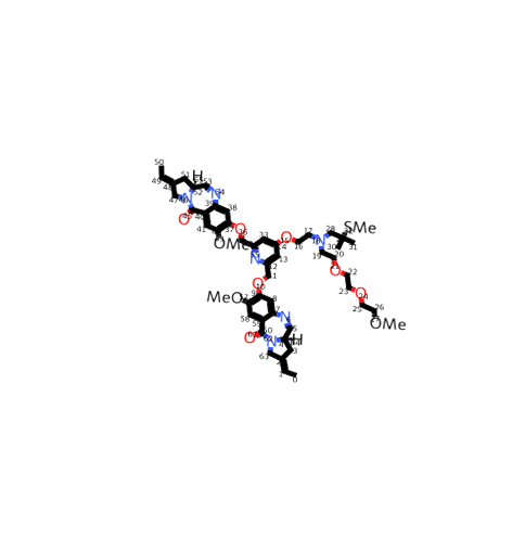 C/C=C1\C[C@H]2C=Nc3cc(OCc4cc(OCCN(CCOCCOCCOC)CC(C)(C)SC)cc(COc5cc6c(cc5OC)C(=O)N5C/C(=C/C)C[C@H]5C=N6)n4)c(OC)cc3C(=O)N2C1